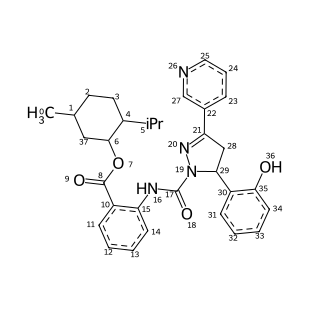 CC1CCC(C(C)C)C(OC(=O)c2ccccc2NC(=O)N2N=C(c3cccnc3)CC2c2ccccc2O)C1